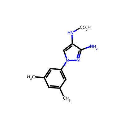 Cc1cc(C)cc(-n2cc(NC(=O)O)c(N)n2)c1